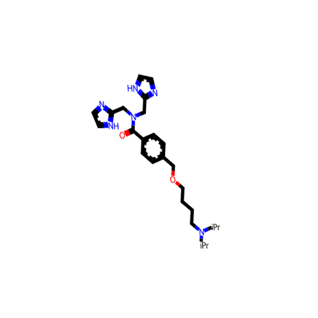 CC(C)N(CCCCOCc1ccc(C(=O)N(Cc2ncc[nH]2)Cc2ncc[nH]2)cc1)C(C)C